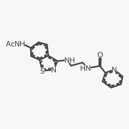 CC(=O)Nc1ccc2c(NCCNC(=O)c3ccccn3)nsc2c1